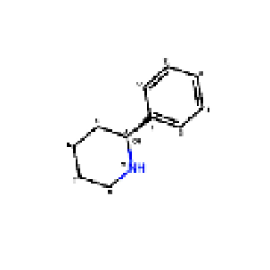 c1ccc([C@@H]2CCCCN2)cc1